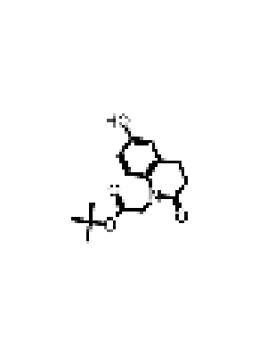 CC(C)(C)OC(=O)CN1C(=O)CCc2cc(O)ccc21